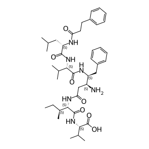 CC[C@H](C)[C@H](NC(=O)C[C@H](N)[C@H](Cc1ccccc1)NC(=O)[C@@H](NC(=O)[C@H](CC(C)C)NC(=O)CCc1ccccc1)C(C)C)C(=O)N[C@H](C(=O)O)C(C)C